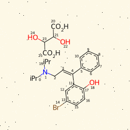 CC(C)N(CC=C(c1ccccc1)c1cc(Br)ccc1O)C(C)C.O=C(O)C(O)C(O)C(=O)O